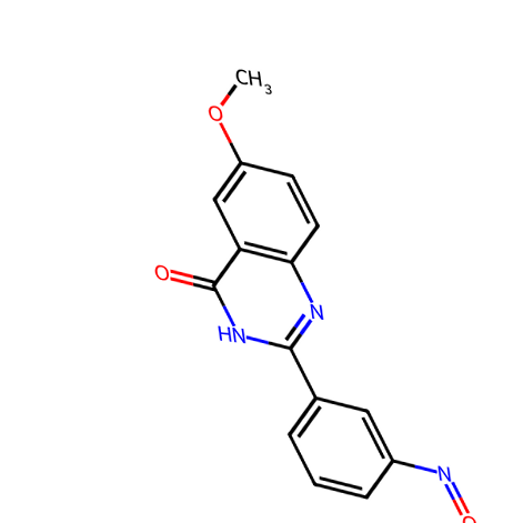 COc1ccc2nc(-c3cccc(N=O)c3)[nH]c(=O)c2c1